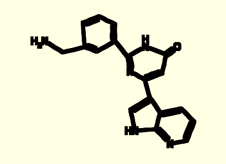 NCc1cccc(-c2nc(-c3c[nH]c4ncccc34)cc(=O)[nH]2)c1